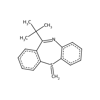 C=S1c2ccccc2N=C(C(C)(C)C)c2ccccc21